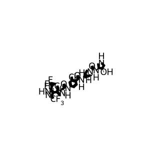 Cn1c(-c2c(C(F)(F)F)n[nH]c2C2CC2(F)F)cnc1C(=O)Nc1ccc(C(=O)NC2[C@H]3CN(C(=O)N[C@H]4CNC[C@@H]4O)C[C@@H]23)c(Cl)c1